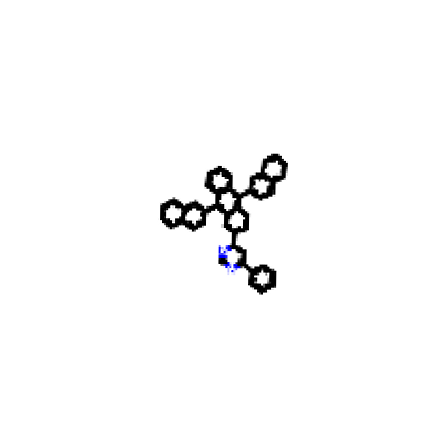 c1ccc(-c2cc(-c3ccc4c(-c5ccc6ccccc6c5)c5ccccc5c(-c5ccc6ccccc6c5)c4c3)ncn2)cc1